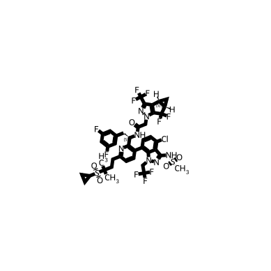 CC(C)(CCc1ccc(-c2ccc(Cl)c3c(NS(C)(=O)=O)nn(CC(F)(F)F)c23)c([C@H](Cc2cc(F)cc(F)c2)NC(=O)Cn2nc(C(F)(F)F)c3c2C(F)(F)[C@@H]2C[C@H]32)n1)S(=O)(=O)C1CC1